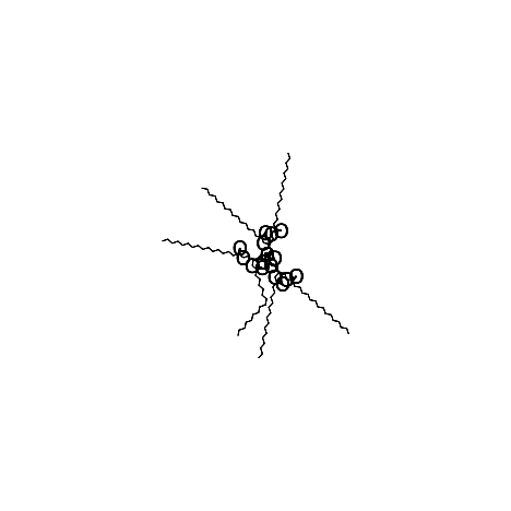 CCCCCCCCCCCCCCCC(=O)OC[C@H](COP(=O)(OC[C@@H](COC(=O)CCCCCCCCCCCCCCC)OC(=O)CCCCCCCCCCCCCCC)OC[C@@H](COC(=O)CCCCCCCCCCCCCCC)OC(=O)CCCCCCCCCCCCCCC)OC(=O)CCCCCCCCCCCCCCC